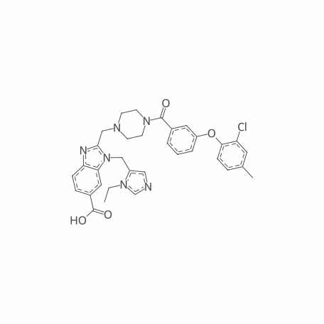 CCn1cncc1Cn1c(CN2CCN(C(=O)c3cccc(Oc4ccc(C)cc4Cl)c3)CC2)nc2ccc(C(=O)O)cc21